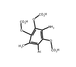 CC(=O)c1c(C)c(OC(=O)O)c(OC(=O)O)c(N)c1OC(=O)O